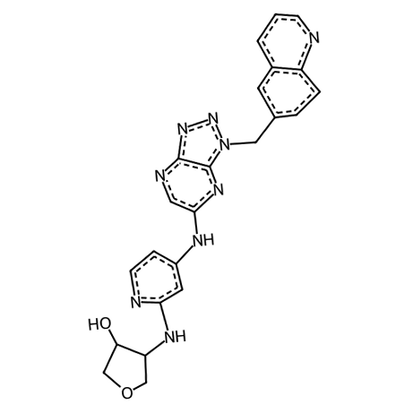 OC1COCC1Nc1cc(Nc2cnc3nnn(Cc4ccc5ncccc5c4)c3n2)ccn1